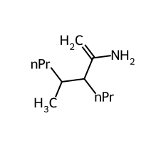 C=C(N)C(CCC)C(C)CCC